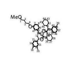 COCCCCOc1cccc([C@@H](CCc2ccc(C)c(C)c2)OC(=O)[C@@H]2CCCCN2C(=O)[C@H](c2cccc(C)c2)C2CCCCC2)c1